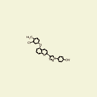 Cc1ccc(Oc2cccc3nc(-c4cn(-c5ccc(O)cc5)nn4)ccc23)cc1Cl